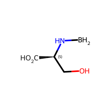 BN[C@@H](CO)C(=O)O